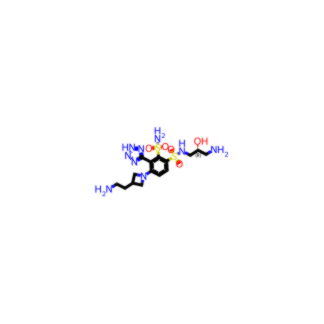 NCCC1CN(c2ccc(S(=O)(=O)NC[C@H](O)CN)c(S(N)(=O)=O)c2-c2nn[nH]n2)C1